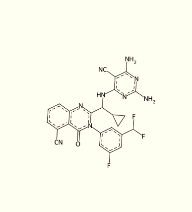 N#Cc1c(N)nc(N)nc1NC(c1nc2cccc(C#N)c2c(=O)n1-c1cc(F)cc(C(F)F)c1)C1CC1